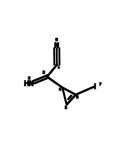 N#CC(=N)C1C=C1I